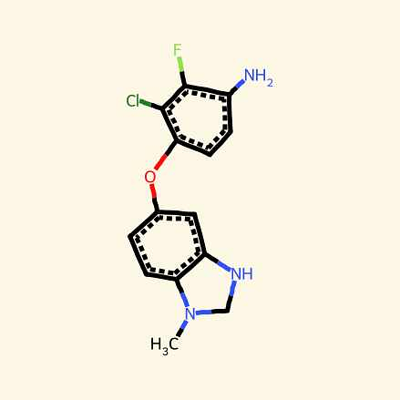 CN1CNc2cc(Oc3ccc(N)c(F)c3Cl)ccc21